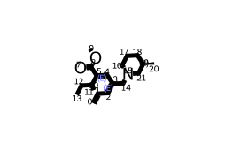 C=C/C=C(\C=C(\C(=O)OC)C(C)CC)CN1CCC[C@@H](C)C1